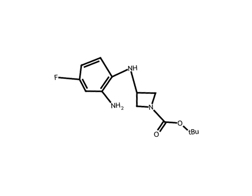 CC(C)(C)OC(=O)N1CC(Nc2ccc(F)cc2N)C1